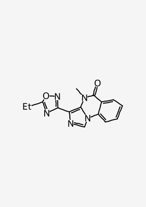 CCc1nc(-c2ncn3c4ccccc4c(=O)n(C)c23)no1